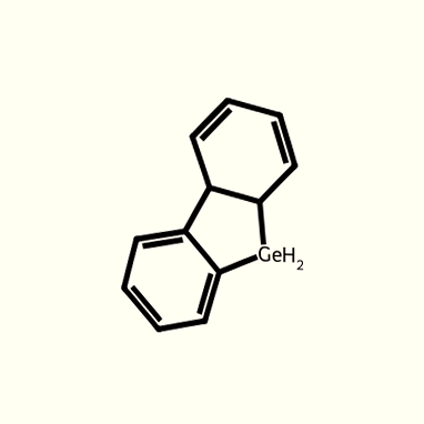 C1=C[CH]2[GeH2][c]3ccccc3C2C=C1